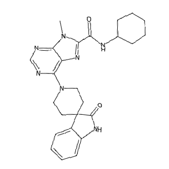 Cn1c(C(=O)NC2CCCCC2)nc2c(N3CCC4(CC3)C(=O)Nc3ccccc34)ncnc21